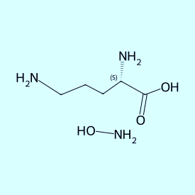 NCCC[C@H](N)C(=O)O.NO